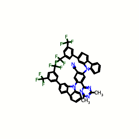 Cc1nc(C)nc(-c2cc(-n3c4ccccc4c4ccc(-c5cc(C(F)(F)F)cc(C(F)(F)F)c5)cc43)c(C#N)cc2-n2c3ccccc3c3ccc(-c4cc(C(F)(F)F)cc(C(F)(F)F)c4)cc32)n1